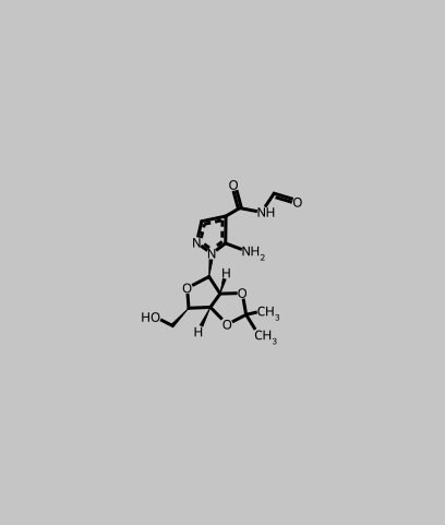 CC1(C)O[C@@H]2[C@H](O1)[C@@H](CO)O[C@H]2n1ncc(C(=O)NC=O)c1N